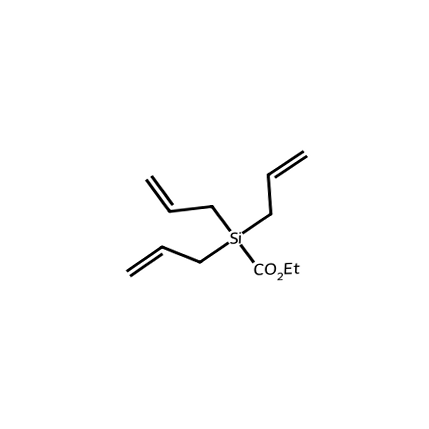 C=CC[Si](CC=C)(CC=C)C(=O)OCC